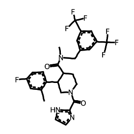 Cc1cc(F)ccc1C1CN(C(=O)c2ncc[nH]2)CCC1C(=O)N(C)Cc1cc(C(F)(F)F)cc(C(F)(F)F)c1